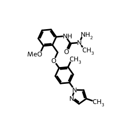 COc1cccc(NC(=O)N(C)N)c1COc1ccc(-n2cc(C)cn2)cc1C